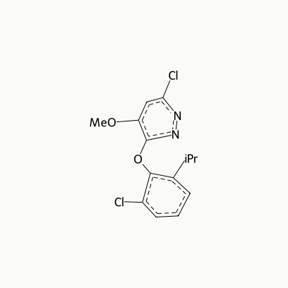 COc1cc(Cl)nnc1Oc1c(Cl)cccc1C(C)C